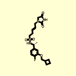 C[C@@H](NS(=O)(=O)CC/C=C/CN1CC(=O)NC1=O)c1ccc(F)c(OCC2CCC2)c1